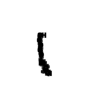 Cn1c2ccncc2c2ccc(-c3ccc(CCCOCCOCCOCCOCCO)nc3)cc21